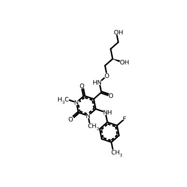 Cc1ccc(Nc2c(C(=O)NOC[C@H](O)CCO)c(=O)n(C)c(=O)n2C)c(F)c1